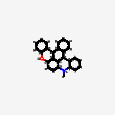 CN1c2ccccc2-c2c3ccccc3c3c4c(ccc1c24)Oc1ccccc1-3